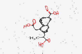 CC(C(=O)O)c1ccc2cc(C(=O)O)ccc2c1CC(=O)O